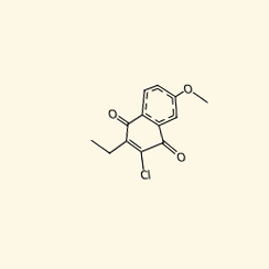 CCC1=C(Cl)C(=O)c2cc(OC)ccc2C1=O